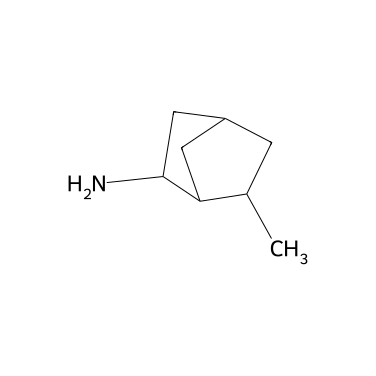 CC1CC2CC(N)C1C2